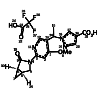 COc1cc(N2C[C@H]3C[C@H]3C2=O)ncc1C(C)n1cc(C(=O)O)cn1.O=C(O)C(F)(F)F